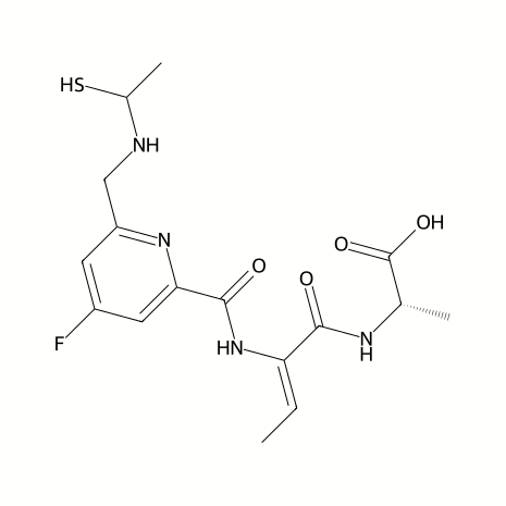 C/C=C(\NC(=O)c1cc(F)cc(CNC(C)S)n1)C(=O)N[C@@H](C)C(=O)O